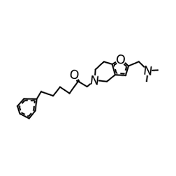 CN(C)Cc1cc2c(o1)CCN(CC(=O)CCCCc1ccccc1)C2